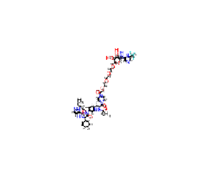 CC(=O)NC(Cc1ccc(NC(=O)C(NC(=O)c2ccnn2C(C)C)C2CCCCCC2)cc1)C(=O)N1CCN(C(=O)COCCOCCOCCOC[C@H]2OC[C@H](Nc3cncc(C(F)(F)F)n3)[C@@H](O)[C@H]2O)CC1